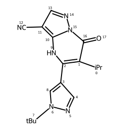 CC(C)c1c(-c2cnn(C(C)(C)C)c2)[nH]c2c(C#N)cnn2c1=O